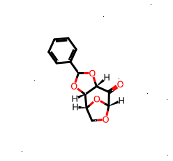 O=C1[C@@H]2OC[C@@H](O2)[C@@H]2OC(c3ccccc3)O[C@H]12